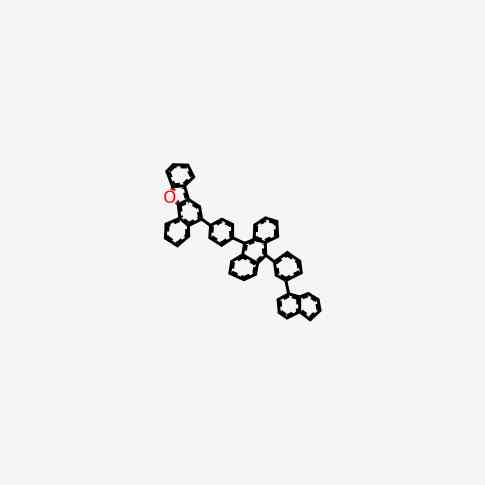 c1cc(-c2cccc3ccccc23)cc(-c2c3ccccc3c(-c3ccc(-c4cc5c6ccccc6oc5c5ccccc45)cc3)c3ccccc23)c1